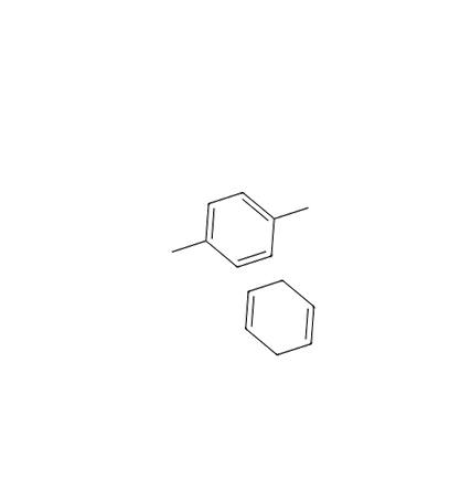 C1=CCC=CC1.Cc1ccc(C)cc1